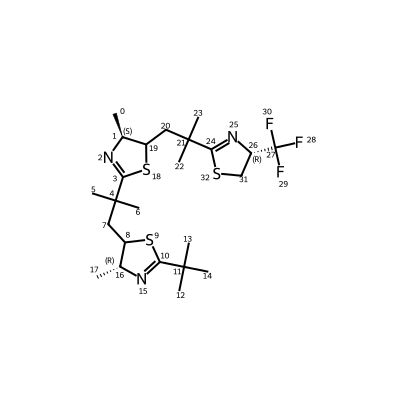 C[C@@H]1N=C(C(C)(C)CC2SC(C(C)(C)C)=N[C@@H]2C)SC1CC(C)(C)C1=N[C@H](C(F)(F)F)CS1